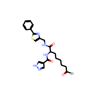 CCC(=O)CCCCCC(NC(=O)c1cn[nH]c1)C(=O)NCc1csc(-c2ccccc2)n1